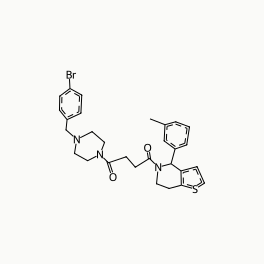 Cc1cccc(C2c3ccsc3CCN2C(=O)CCC(=O)N2CCN(Cc3ccc(Br)cc3)CC2)c1